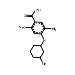 COC(=O)c1cc(N)c(NC2CCCC(C)C2)cc1OC